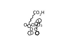 CC(COc1ccccc1)(COC1C(OC2CCCCO2)CC(=O)C1CC=CCCCC(=O)O)OC1CCCCO1